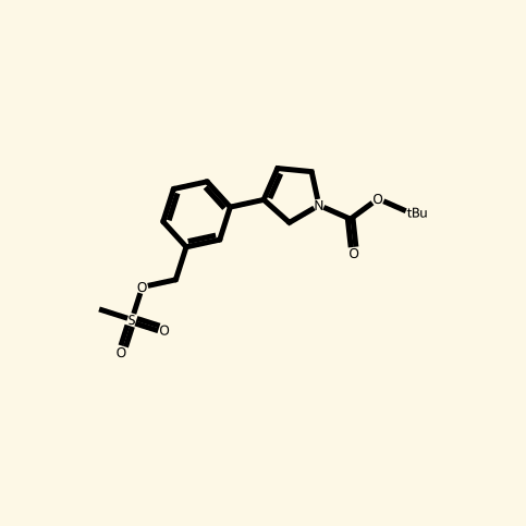 CC(C)(C)OC(=O)N1CC=C(c2cccc(COS(C)(=O)=O)c2)C1